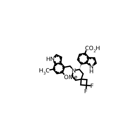 COc1cc(C)c2[nH]ccc2c1CN1CCC2(C[C@H]1c1ccc(C(=O)O)c3cc[nH]c13)CC(F)(F)C2